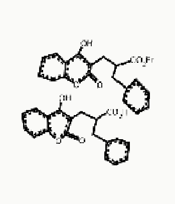 CCOC(=O)C(Cc1ccccc1)Cc1c(O)c2ccccc2oc1=O.O=C(O)C(Cc1ccccc1)Cc1c(O)c2ccccc2oc1=O